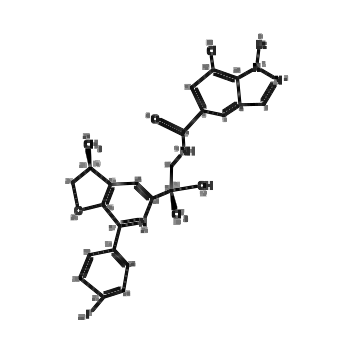 CCn1ncc2cc(C(=O)NC[C@](O)(c3cc4c(c(-c5ccc(F)cc5)n3)OC[C@H]4C)C(F)(F)F)cc(Cl)c21